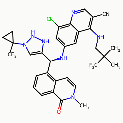 Cn1ccc2c([C@H](Nc3cc(Cl)c4ncc(C#N)c(NCC(C)(C)C(F)(F)F)c4c3)C3=CN(C4(C(F)(F)F)CC4)NN3)cccc2c1=O